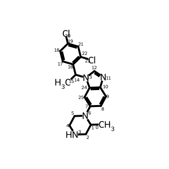 CC1CNCCN1c1ccc2ncn(C(C)c3ccc(Cl)cc3Cl)c2c1